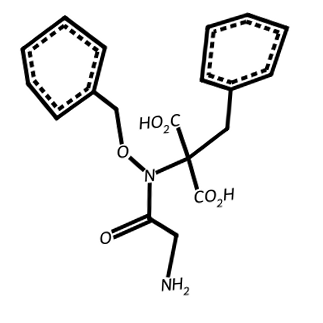 NCC(=O)N(OCc1ccccc1)C(Cc1ccccc1)(C(=O)O)C(=O)O